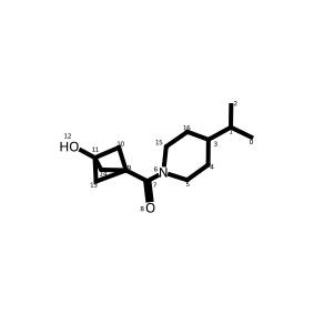 CC(C)C1CCN(C(=O)C23CC(O)(C2)C3)CC1